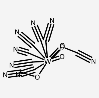 N#C[O][W](=[O])(=[O])([C]#N)([C]#N)([C]#N)([C]#N)([C]#N)([C]#N)[O]C#N